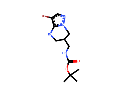 CC(C)(C)OC(=O)NCC1CNc2c(Br)cnn2C1